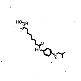 CC(C)CN(C)c1ccc(NC(=O)CCCCCCC(=O)NO)cc1